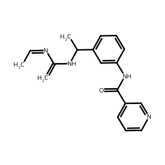 C=C(/N=C\C)NC(C)c1cccc(NC(=O)c2cccnc2)c1